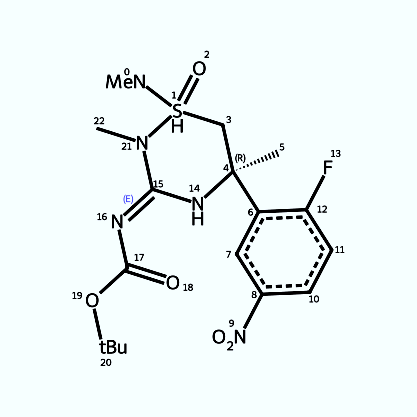 CN[SH]1(=O)C[C@@](C)(c2cc([N+](=O)[O-])ccc2F)N/C(=N\C(=O)OC(C)(C)C)N1C